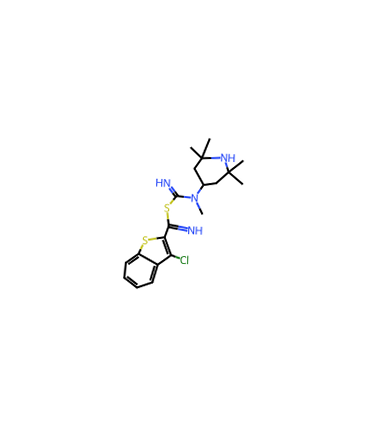 CN(C(=N)SC(=N)c1sc2ccccc2c1Cl)C1CC(C)(C)NC(C)(C)C1